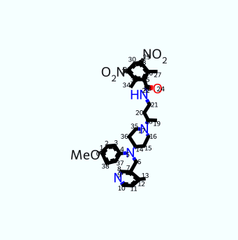 COc1ccc(N(Cc2cnccc2C)C2CCN(C(C)CCNC(=O)c3c(C)c([N+](=O)[O-])cc([N+](=O)[O-])c3C)CC2)cc1